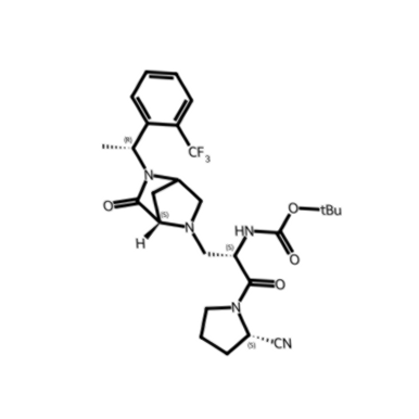 C[C@H](c1ccccc1C(F)(F)F)N1C(=O)[C@@H]2CC1CN2C[C@H](NC(=O)OC(C)(C)C)C(=O)N1CCC[C@H]1C#N